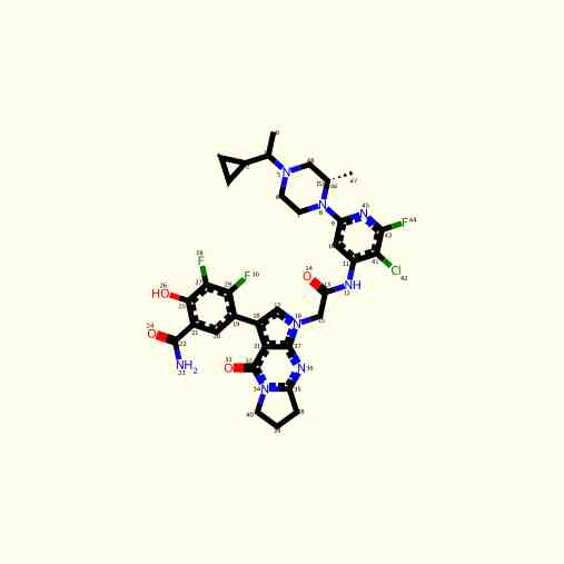 CC(C1CC1)N1CCN(c2cc(NC(=O)Cn3cc(-c4cc(C(N)=O)c(O)c(F)c4F)c4c(=O)n5c(nc43)CCC5)c(Cl)c(F)n2)[C@@H](C)C1